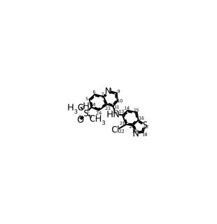 C[SH](C)(=O)c1ccc2nccc(Nc3ccc4scnc4c3Cl)c2c1